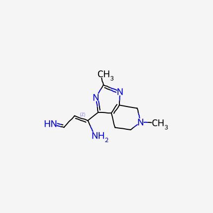 Cc1nc2c(c(/C(N)=C/C=N)n1)CCN(C)C2